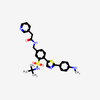 CNc1ccc(-c2ncc(-c3ccc(CNC(=O)Cc4cccnc4)cc3S(=O)(=O)NC(C)(C)C)s2)cc1